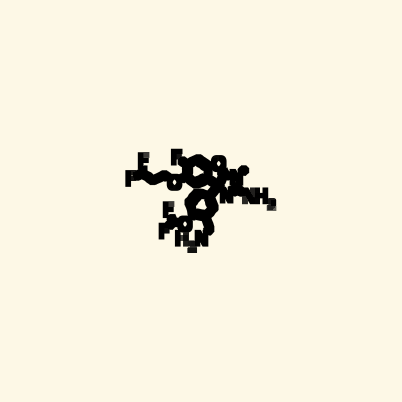 CN1C(=O)C(c2ccc(OC(F)F)c(CN)c2)(c2ccc(F)c(OCCC(F)F)c2)N=C1N